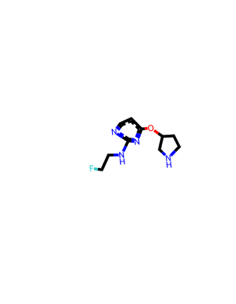 FCCNc1nccc(OC2CCNC2)n1